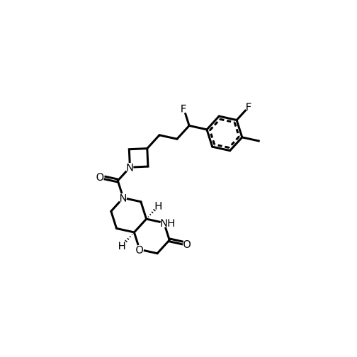 Cc1ccc(C(F)CCC2CN(C(=O)N3CC[C@@H]4OCC(=O)N[C@@H]4C3)C2)cc1F